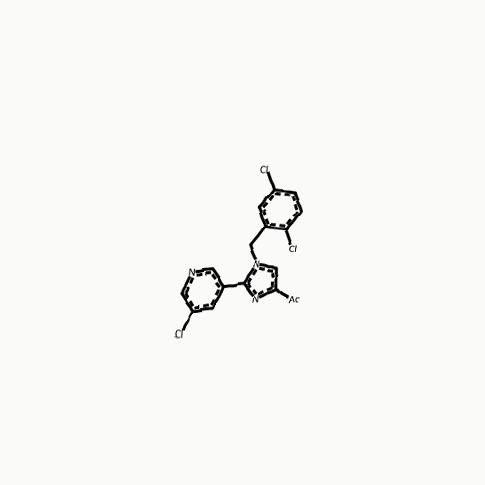 CC(=O)c1cn(Cc2cc(Cl)ccc2Cl)c(-c2cncc(Cl)c2)n1